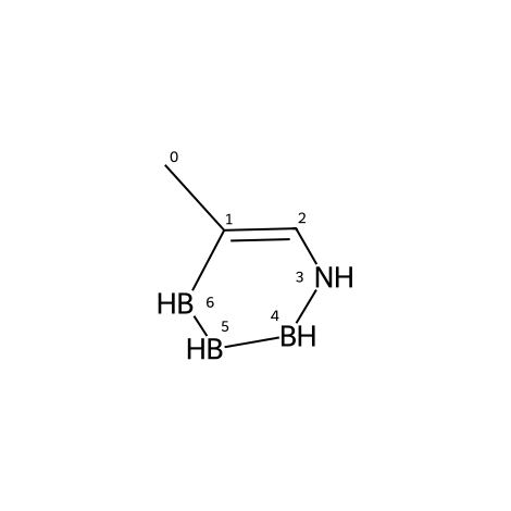 CC1=CNBBB1